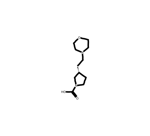 O=C(O)N1CC[C@@H](CCN2CCOCC2)C1